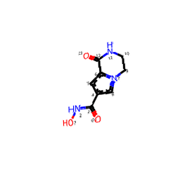 O=C(NO)c1cc2n(c1)CCNC2=O